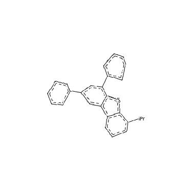 CC(C)c1cccc2c1sc1c(-c3ccccc3)cc(-c3ccccc3)cc12